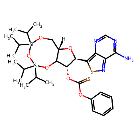 CC(C)[Si]1(C(C)C)OC[C@@H]2O[C@@H](c3snc4c(N)ncnc34)[C@H](OC(=S)Oc3ccccc3)C2O[Si](C(C)C)(C(C)C)O1